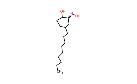 CCCCCCCCCC1CCC(O)C(=NO)C1